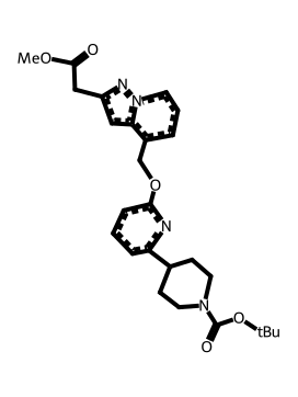 COC(=O)Cc1cc2c(COc3cccc(C4CCN(C(=O)OC(C)(C)C)CC4)n3)cccn2n1